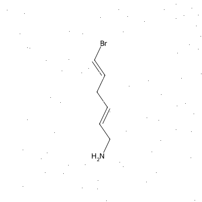 NCC=CCC=CBr